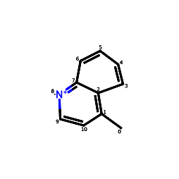 CC1=c2ccccc2=[N+]C=C1